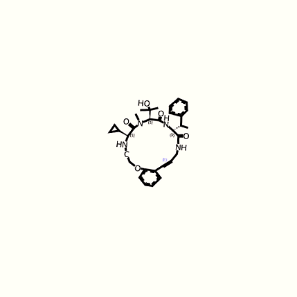 CC(c1ccccc1)[C@H]1NC(=O)[C@H](C(C)(C)O)N(C)C(=O)[C@H](C2CC2)NCCOc2ccccc2/C=C/CNC1=O